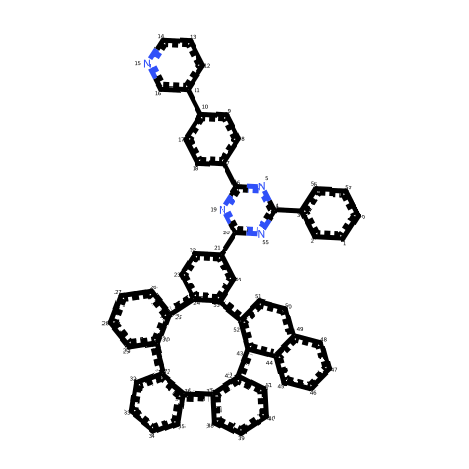 c1ccc(-c2nc(-c3ccc(-c4cccnc4)cc3)nc(-c3ccc4c5ccccc5c5ccccc5c5ccccc5c5c6ccccc6ccc5c4c3)n2)cc1